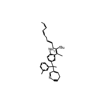 C/C=C\C=C/C/C=C/C/C(=C(/C)c1cc(C(C)(C2=CCC#CN=C2)c2cccc(C)c2)ccc1N)C(C)(C)C